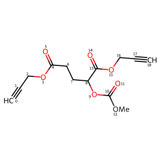 C#CCOC(=O)CCC(OC(=O)OC)C(=O)OCC#C